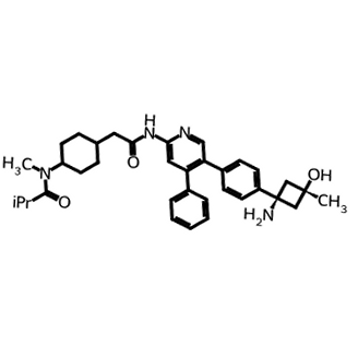 CC(C)C(=O)N(C)C1CCC(CC(=O)Nc2cc(-c3ccccc3)c(-c3ccc([C@]4(N)C[C@](C)(O)C4)cc3)cn2)CC1